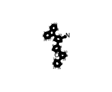 N#Cc1cc(-c2ccc3oc4c(-c5ccccc5)cccc4c3c2)cc(C2c3ccccc3-c3ccccc32)c1